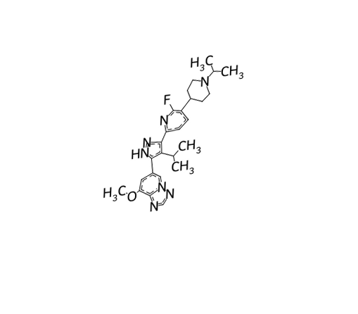 COc1cc(-c2[nH]nc(-c3ccc(C4CCN(C(C)C)CC4)c(F)n3)c2C(C)C)cn2ncnc12